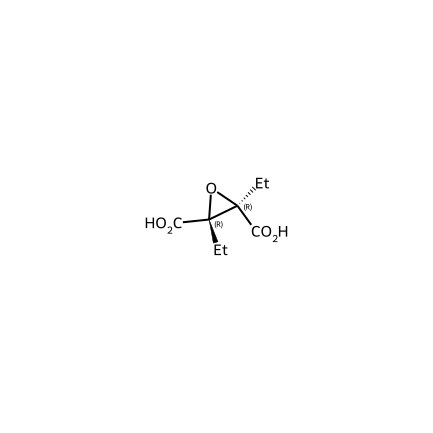 CC[C@@]1(C(=O)O)O[C@@]1(CC)C(=O)O